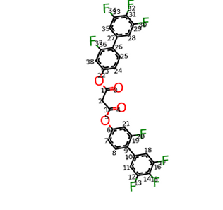 O=C(CC(=O)Oc1ccc(-c2cc(F)c(F)c(F)c2)c(F)c1)Oc1ccc(-c2cc(F)c(F)c(F)c2)c(F)c1